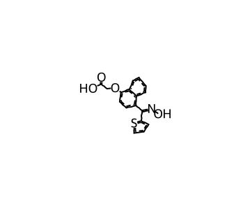 O=C(O)COc1ccc(C(=NO)c2cccs2)c2ccccc12